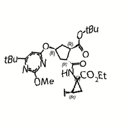 CCOC(=O)[C@@]1(NC(=O)[C@@H]2C[C@@H](Oc3cc(C(C)(C)C)nc(OC)n3)C[C@H]2C(=O)OC(C)(C)C)C[C@H]1I